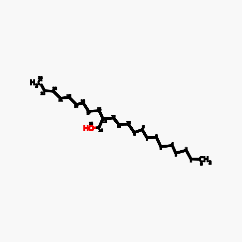 CCCCCCCCCCCCCC(CO)CCCCCCCCC